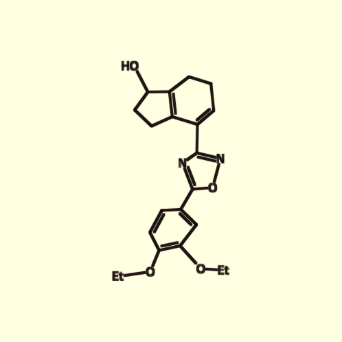 CCOc1ccc(-c2nc(C3=CCCC4=C3CCC4O)no2)cc1OCC